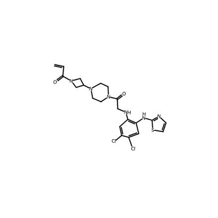 C=CC(=O)N1CC(N2CCN(C(=O)CNc3cc(Cl)c(Cl)cc3Nc3nccs3)CC2)C1